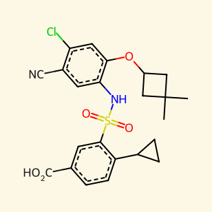 CC1(C)CC(Oc2cc(Cl)c(C#N)cc2NS(=O)(=O)c2cc(C(=O)O)ccc2C2CC2)C1